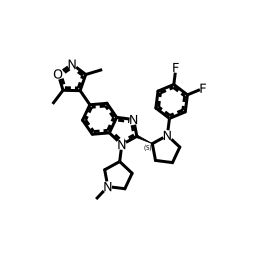 Cc1noc(C)c1-c1ccc2c(c1)nc([C@@H]1CCCN1c1ccc(F)c(F)c1)n2C1CCN(C)C1